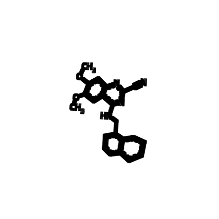 COc1cc2nc(C#N)nc(NCc3cccc4ccccc34)c2cc1OC